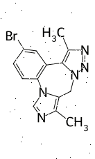 Cc1ncn2c1Cn1nnc(C)c1-c1cc(Br)ccc1-2